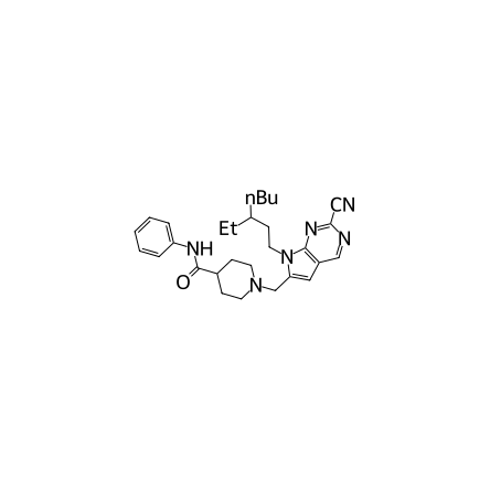 CCCCC(CC)CCn1c(CN2CCC(C(=O)Nc3ccccc3)CC2)cc2cnc(C#N)nc21